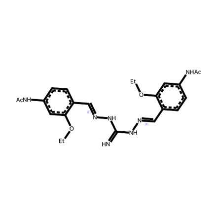 CCOc1cc(NC(C)=O)ccc1/C=N/NC(=N)N/N=C/c1ccc(NC(C)=O)cc1OCC